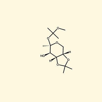 COC(C)(C)O[C@@]1(C)OC[C@@H]2OC(C)(C)O[C@@H]2[C@H]1O